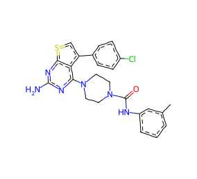 Cc1cccc(NC(=O)N2CCN(c3nc(N)nc4scc(-c5ccc(Cl)cc5)c34)CC2)c1